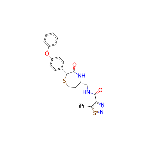 CC(C)c1snnc1C(=O)NC[C@@H]1CCS[C@H](c2ccc(Oc3ccccc3)cc2)C(=O)N1